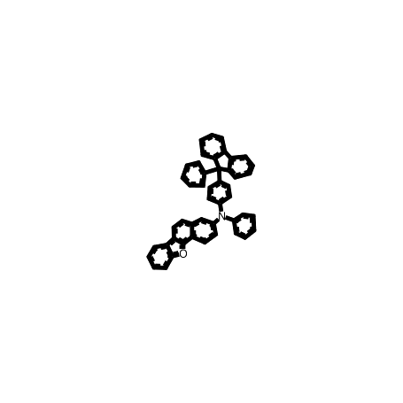 c1ccc(N(c2ccc(C3(c4ccccc4)c4ccccc4-c4ccccc43)cc2)c2ccc3c(ccc4c5ccccc5oc34)c2)cc1